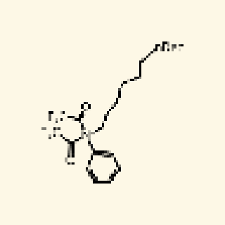 CCCCCCCCCCCCCCCC[N+](C(=O)C(F)(F)F)(C(=O)C(F)(F)F)c1ccccc1